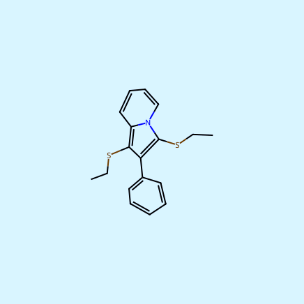 CCSc1c(-c2ccccc2)c(SCC)n2ccccc12